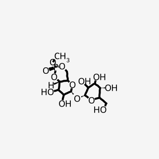 COP1(=O)OCC2O[C@H](O[C@H]3OC(CO)[C@@H](O)C(O)C3O)C(O)C(O)[C@@H]2O1